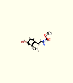 Cc1cc(Br)ccc1CCNC(=O)OC(C)(C)C